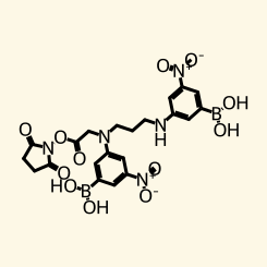 O=C(CN(CCCNc1cc(B(O)O)cc([N+](=O)[O-])c1)c1cc(B(O)O)cc([N+](=O)[O-])c1)ON1C(=O)CCC1=O